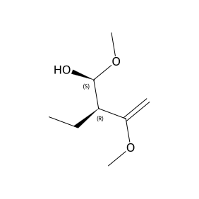 C=C(OC)[C@@H](CC)[C@@H](O)OC